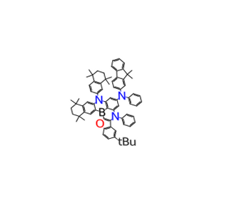 CC(C)(C)c1ccc2oc3c(c2c1)N(c1ccccc1)c1cc(N(c2ccccc2)c2ccc4c(c2)C(C)(C)c2ccccc2-4)cc2c1B3c1cc3c(cc1N2c1ccc2c(c1)C(C)(C)CCC2(C)C)C(C)(C)CCC3(C)C